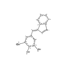 CC(C)(C)c1cc(/C=C2\C=Nc3ncccc32)cc(C(C)(C)C)c1O